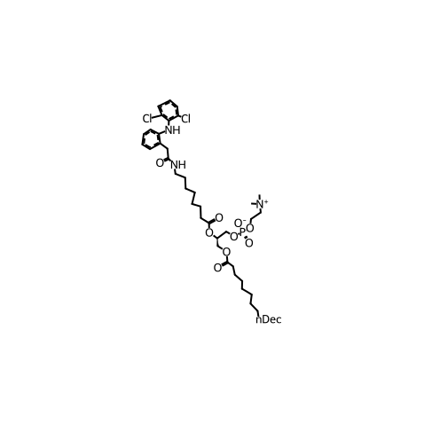 CCCCCCCCCCCCCCCCCC(=O)OC[C@H](COP(=O)([O-])OCC[N+](C)(C)C)OC(=O)CCCCCCCNC(=O)Cc1ccccc1Nc1c(Cl)cccc1Cl